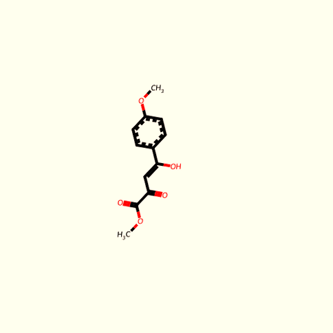 COC(=O)C(=O)C=C(O)c1ccc(OC)cc1